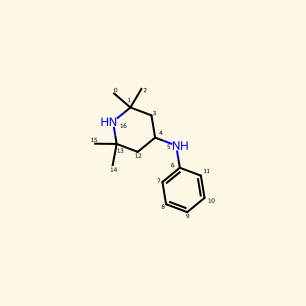 CC1(C)CC(Nc2ccccc2)CC(C)(C)N1